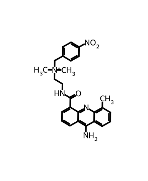 Cc1cccc2c(N)c3cccc(C(=O)NCC[N+](C)(C)Cc4ccc([N+](=O)[O-])cc4)c3nc12